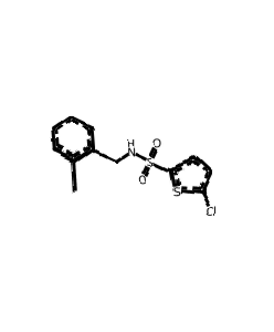 Cc1ccccc1CNS(=O)(=O)c1ccc(Cl)s1